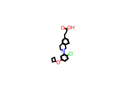 O=C(O)CCc1ccc2c(c1)CCN(c1cc(OC3CCC3)ccc1Cl)C2